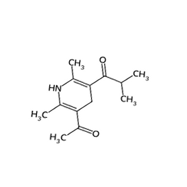 CC(=O)C1=C(C)NC(C)=C(C(=O)C(C)C)C1